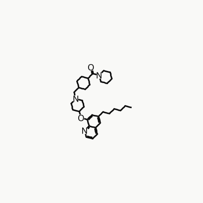 CCCCCCc1cc(OC2CCN(CC3CCC(C(=O)N4CCCCC4)CC3)CC2)c2ncccc2c1